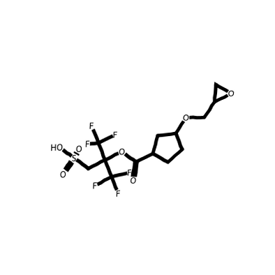 O=C(OC(CS(=O)(=O)O)(C(F)(F)F)C(F)(F)F)C1CCC(OCC2CO2)C1